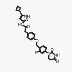 O=C1CCN(c2ccc(COc3ccc(CC(=O)Nc4cc(C5CCC5)[nH]n4)cc3)c(F)c2)C(=O)N1